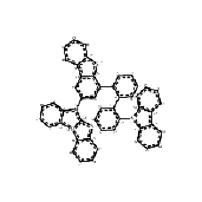 c1ccc(-c2cc(-n3c4ccccc4n4c5ccccc5nc34)cc3c2sc2ccccc23)c(-c2ccccc2-n2c3ccccc3c3ccccc32)c1